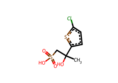 CC(O)(CS(=O)(=O)O)c1ccc(Cl)s1